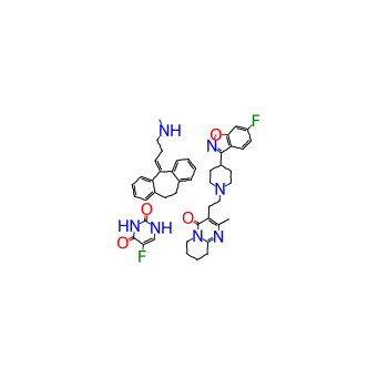 CNCCC=C1c2ccccc2CCc2ccccc21.Cc1nc2n(c(=O)c1CCN1CCC(c3noc4cc(F)ccc34)CC1)CCCC2.O=c1[nH]cc(F)c(=O)[nH]1